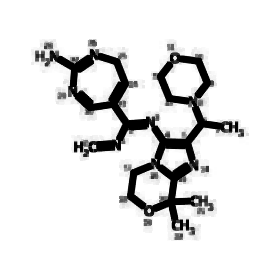 C=N/C(=N\c1c(C(C)N2CCOCC2)nc2n1CCOC2(C)C)C1=CCN=C(N)N=C1